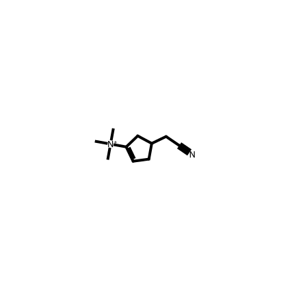 C[N+](C)(C)C1=CCC(CC#N)C1